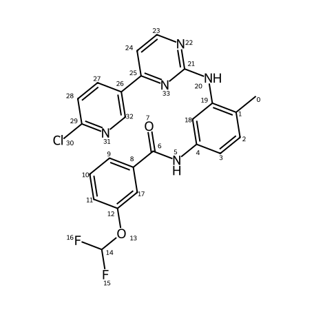 Cc1ccc(NC(=O)c2cccc(OC(F)F)c2)cc1Nc1nccc(-c2ccc(Cl)nc2)n1